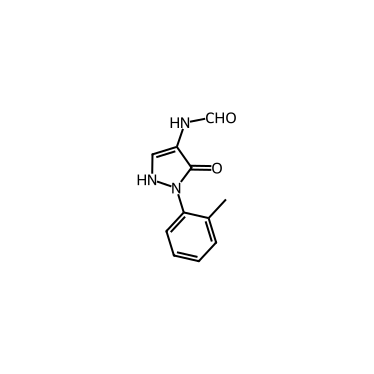 Cc1ccccc1-n1[nH]cc(NC=O)c1=O